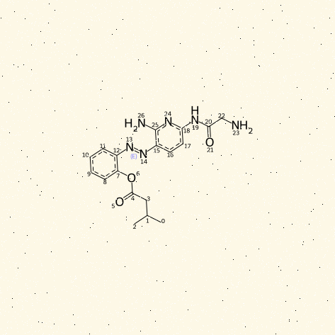 CC(C)CC(=O)Oc1ccccc1/N=N/c1ccc(NC(=O)CN)nc1N